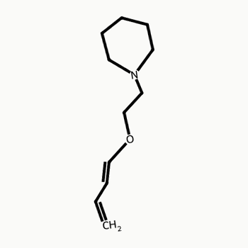 C=CC=COCCN1CCCCC1